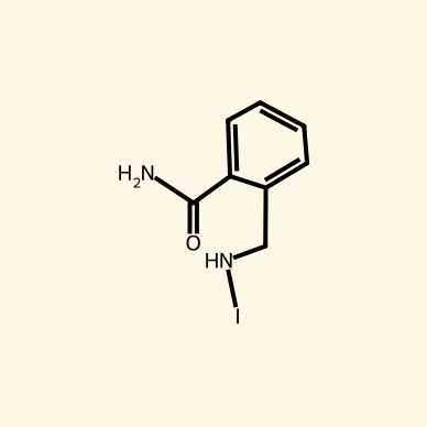 NC(=O)c1ccccc1CNI